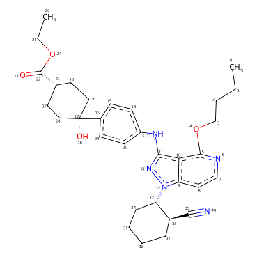 CCCCOc1nccc2c1c(Nc1ccc([C@]3(O)CC[C@@H](C(=O)OCC)CC3)cc1)nn2[C@H]1CCCC[C@@H]1C#N